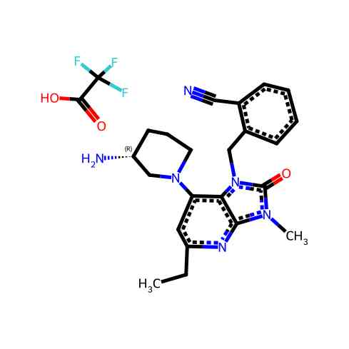 CCc1cc(N2CCC[C@@H](N)C2)c2c(n1)n(C)c(=O)n2Cc1ccccc1C#N.O=C(O)C(F)(F)F